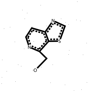 [O]Cc1nccc2ncsc12